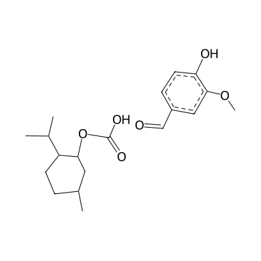 CC1CCC(C(C)C)C(OC(=O)O)C1.COc1cc(C=O)ccc1O